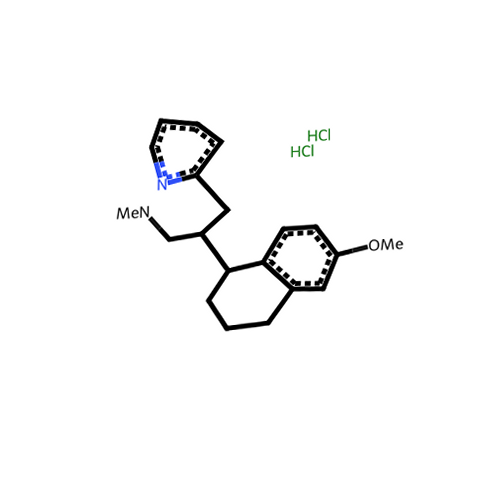 CNCC(Cc1ccccn1)C1CCCc2cc(OC)ccc21.Cl.Cl